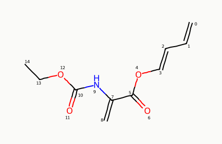 C=CC=COC(=O)C(=C)NC(=O)OCC